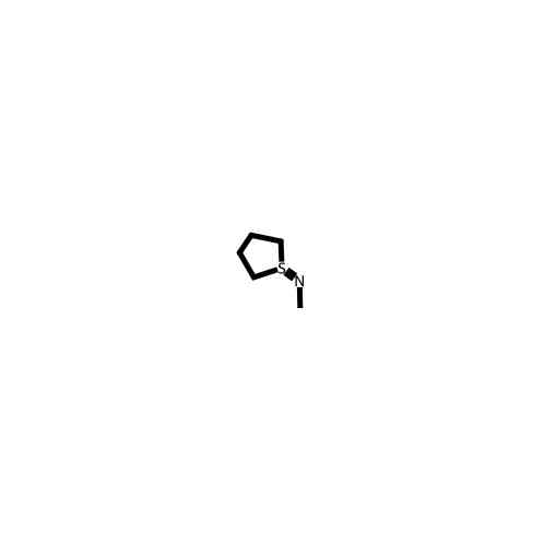 CN=S1CCCC1